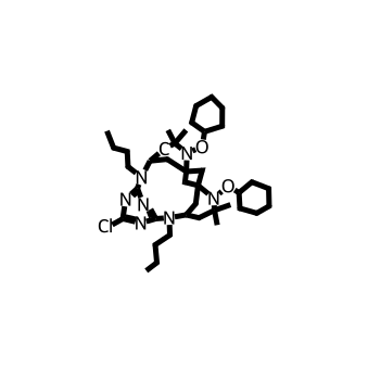 CCCCN1c2nc(Cl)nc(n2)N(CCCC)C2CC(C)(C)N(OC3CCCCC3)C3(C2)CC2(CC1CC(C)(C)N2OC1CCCCC1)C3